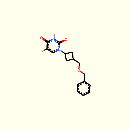 O=c1[nH]c(=O)n(C2CC(COCc3ccccc3)C2)cc1F